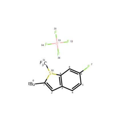 CC(C)(C)c1cc2ccc(F)cc2[s+]1C(F)(F)F.F[B-](F)(F)F